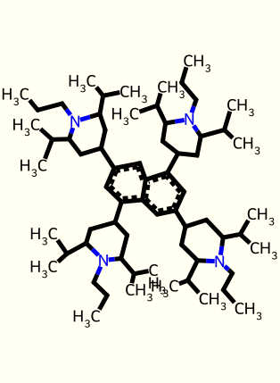 CCCN1C(C(C)C)CC(c2cc(C3CC(C(C)C)N(CCC)C(C(C)C)C3)c3cc(C4CC(C(C)C)N(CCC)C(C(C)C)C4)cc(C4CC(C(C)C)N(CCC)C(C(C)C)C4)c3c2)CC1C(C)C